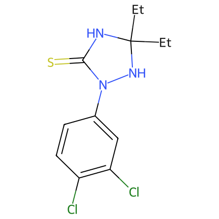 CCC1(CC)NC(=S)N(c2ccc(Cl)c(Cl)c2)N1